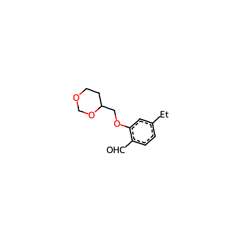 CCc1ccc(C=O)c(OCC2CCOCO2)c1